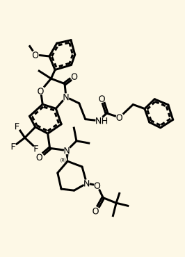 COc1ccccc1C1(C)Oc2cc(C(F)(F)F)c(C(=O)N(C(C)C)[C@@H]3CCCN(OC(=O)C(C)(C)C)C3)cc2N(CCNC(=O)OCc2ccccc2)C1=O